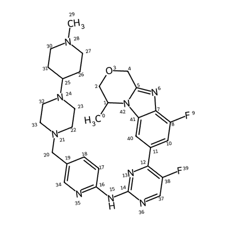 CC1COCc2nc3c(F)cc(-c4nc(Nc5ccc(CN6CCN(C7CCN(C)CC7)CC6)cn5)ncc4F)cc3n21